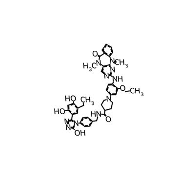 CCOc1cc(N2CCC(C(=O)NCc3ccc(-n4c(O)nnc4-c4cc(CC)c(O)cc4O)cc3)CC2)ccc1Nc1ncc2c(n1)N(C)c1ccccc1C(=O)N2C